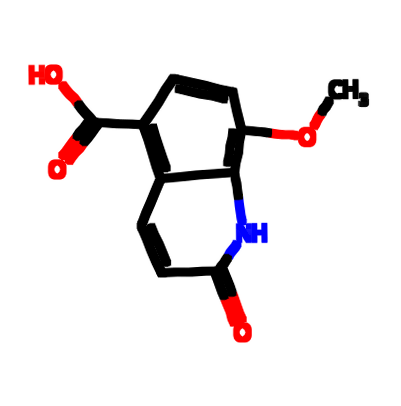 COc1ccc(C(=O)O)c2ccc(=O)[nH]c12